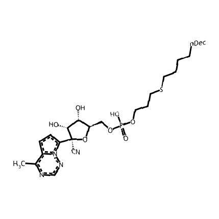 CCCCCCCCCCCCCCSCCCOP(=O)(O)OC[C@H]1O[C@@](C#N)(c2ccc3c(C)ncnn23)[C@H](O)[C@@H]1O